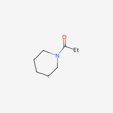 CCC(=O)N1C[CH]CCC1